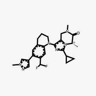 C[C@H]1C(=O)N(C)Cc2c(N3CCCc4cc(-c5cnn(C)c5)c(C(F)F)cc43)nc(C3CC3)n21